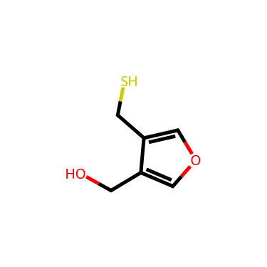 OCc1cocc1CS